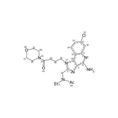 CCN(Cc1nc2c(N)nc3cc(Cl)ccc3c2n1CCCC(=O)N1CCOCC1)C(C)=O